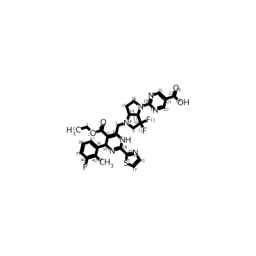 CCOC(=O)C1=C(CN2CC(F)(F)C3C2CCN3c2ncc(C(=O)O)cn2)NC(c2nccs2)=NC1c1cccc(F)c1C